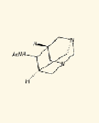 CC(=O)NC1[C@H]2CN3C[C@@H]1C[N@](C3)C2